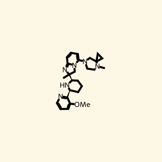 COc1cccnc1[C@@H]1CCC[C@H](C2(C)CN3C(N4CCN(C)C5(CC5)C4)=CC=CC3=N2)N1